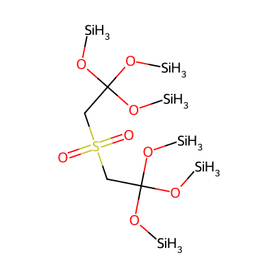 O=S(=O)(CC(O[SiH3])(O[SiH3])O[SiH3])CC(O[SiH3])(O[SiH3])O[SiH3]